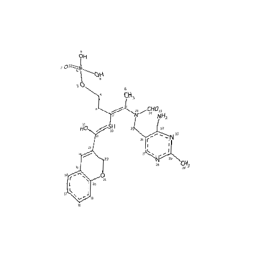 C/C(=C(CCOP(=O)(O)O)/[SH]=C(\O)C1=Cc2ccccc2OC1)N(C=O)Cc1cnc(C)nc1N